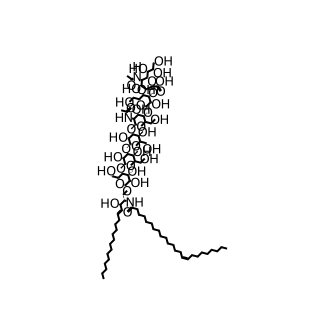 CCCCCCCC/C=C\CCCCCCCCCCCCCC(=O)N[C@@H](CO[C@@H]1OC(CO)[C@@H](O[C@@H]2OC(CO)[C@H](O)[C@H](O[C@H]3OC(CO)[C@H](O)[C@H](O[C@@H]4OC(CO)[C@@H](O[C@@H]5OC(CO)[C@H](O)[C@H](O[C@]6(C(=O)O)CC(O)[C@@H](NC(C)=O)C([C@H](O)[C@H](O)CO)O6)C5O)[C@H](O)C4NC(C)=O)C3O)C2O)[C@H](O)C1O)[C@H](O)/C=C/CCCCCCCCCCCCC